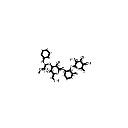 COC(=O)[C@H](CC1CCCCC1)OC1C(O)C(CO)OC(OC2CCCC(C)C2OC2OC(C)C(O)C(O)C2O)C1O